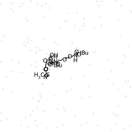 Cc1ncsc1-c1ccc(CNC(=O)[C@@H]2C[C@@H](O)CN2C(=O)[C@@H](NC(=O)CCCOCCOCCNC(=O)OC(C)(C)C)C(C)(C)C)cc1